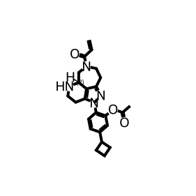 C=CC(=O)N1CCc2nn(-c3ccc(C4CCC4)cc3OC(C)=O)c3c2[C@H](C1)NCC3